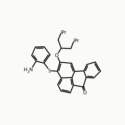 CC(C)CC(CC(C)C)Oc1cc2c3c(cccc3c1Sc1ccccc1N)C(=O)c1ccccc1-2